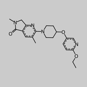 CCOc1ccc(OC2CCN(c3nc4c(cc3C)C(=O)N(C)C4)CC2)cn1